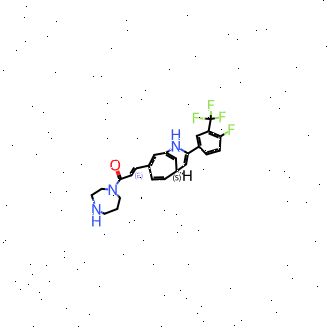 O=C(/C=C/C1=CC2=C[C@H](C=C1)C=C(c1ccc(F)c(C(F)(F)F)c1)N2)N1CCCNCC1